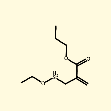 C=C(C[SiH2]OCC)C(=O)OCCC